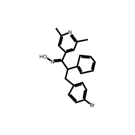 Cc1cc(/C(=N\O)C(Cc2ccc(Br)cc2)c2ccccc2)cc(C)n1